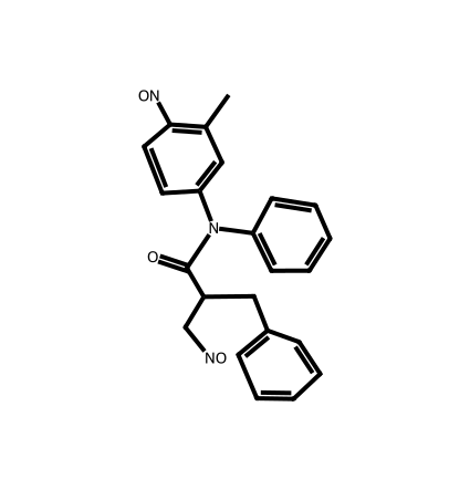 Cc1cc(N(C(=O)C(CN=O)Cc2ccccc2)c2ccccc2)ccc1N=O